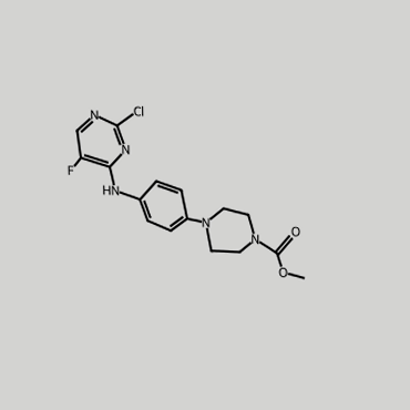 COC(=O)N1CCN(c2ccc(Nc3nc(Cl)ncc3F)cc2)CC1